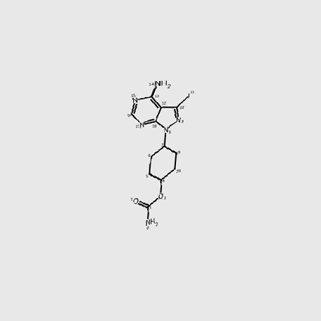 NC(=O)OC1CCC(n2nc(I)c3c(N)ncnc32)CC1